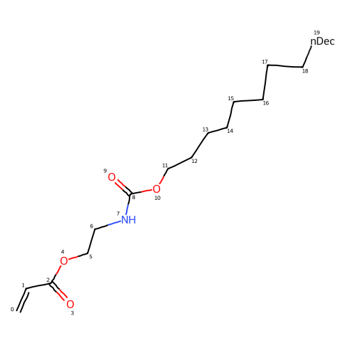 C=CC(=O)OCCNC(=O)OCCCCCCCCCCCCCCCCCC